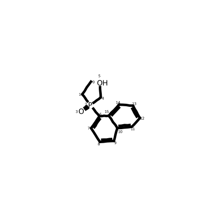 CCP(=O)(CO)c1cccc2ccccc12